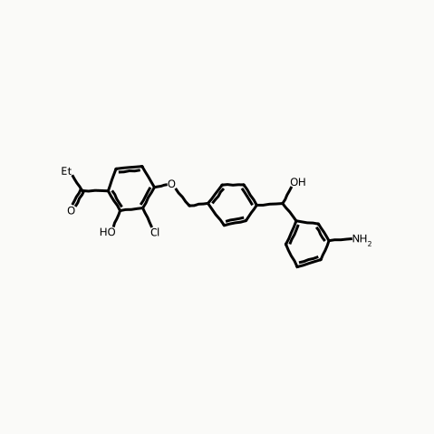 CCC(=O)c1ccc(OCc2ccc(C(O)c3cccc(N)c3)cc2)c(Cl)c1O